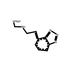 CCCCCCCCNCC=c1cccc2c1=NN=N2